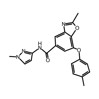 Cc1ccc(Oc2cc(C(=O)Nc3ccn(C)n3)cc3nc(C)oc23)cc1